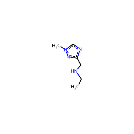 CCNCc1ncn(C)n1